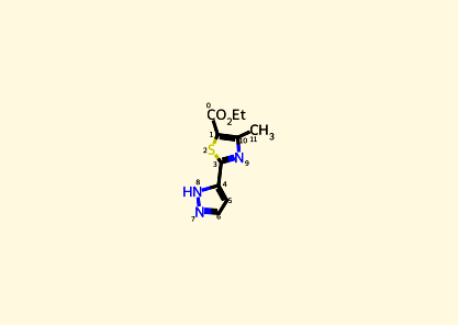 CCOC(=O)c1sc(-c2ccn[nH]2)nc1C